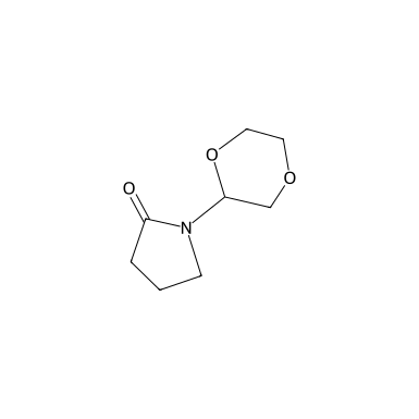 O=C1CCCN1C1COCCO1